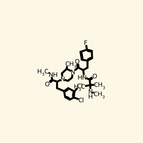 CNC(=O)C(Cc1ccc(Cl)c(Cl)c1)N1CCN(C(=O)C(Cc2ccc(F)cc2)NC(=O)C(C)(C)NC)C(C)C1